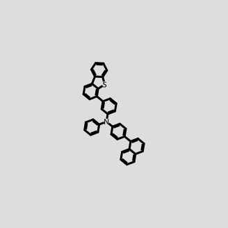 c1ccc(N(c2ccc(-c3cccc4ccccc34)cc2)c2cccc(-c3cccc4c3sc3ccccc34)c2)cc1